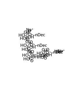 CCCCCCCCCCCCOP(=O)([O-])C(O)P(=O)(O)O.CCCCCCCCCCCCOP(=O)([O-])C(O)P(=O)(O)O.CCCCCCCCCCCCOP(=O)([O-])C(O)P(=O)(O)O.CCCCCCCCCCCCOP(=O)([O-])C(O)P(=O)(O)O.[Na+].[Na+].[Na+].[Na+]